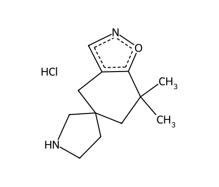 CC1(C)CC2(CCNC2)Cc2cnoc21.Cl